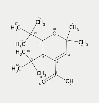 CC1(C)C=C(C(=O)O)C(C(C)(C)C)C(C(C)(C)C)O1